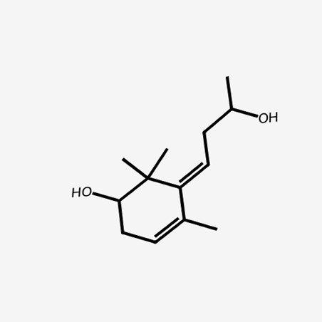 CC1=CCC(O)C(C)(C)C1=CCC(C)O